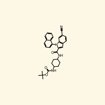 CC(C)(C)OC(=O)NC1CCC(NC(=O)c2cc3ccc(C#N)cc3n2-c2cccc3ccccc23)CC1